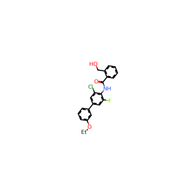 CCOc1cccc(-c2cc(F)c(NC(=O)c3ccccc3CO)c(Cl)c2)c1